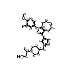 COc1ncc(-n2nc(-c3cnn(CC4CCN(C(C)CO)CC4)c3)c3c2CCOCC3)cc1F